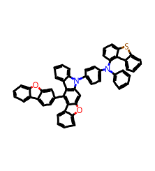 c1ccc(N(c2ccc(-n3c4ccccc4c4c(-c5ccc6c(c5)oc5ccccc56)c5c(cc43)oc3ccccc35)cc2)c2cccc3sc4ccccc4c23)cc1